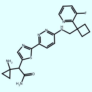 NC(=O)C(c1cnc(-c2ccc(NCC3(c4ncccc4F)CCC3)nn2)s1)C1(N)CC1